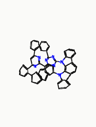 c1ccc(-c2cc(-c3ccccc3-c3ccccc3)nc(-c3ccc(-n4c5ccccc5c5ccc6c7ccccc7n(-c7nc(-c8ccccc8)nc(-c8ccccc8)n7)c6c54)cc3)n2)cc1